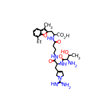 CCc1cccc2c(C)c(CC(NC(=O)CCCNC(=O)C(CC3=CCN(C(=N)N)C3)NC(=O)C(N)C(C)O)C(=O)O)oc12